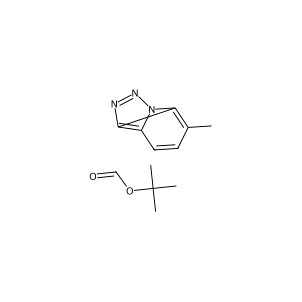 CC(C)(C)OC=O.Cc1ccc2c3nnn2c13